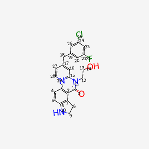 O=C(c1cccc2c1CCN2)N(CCO)c1cc(Cc2cc(F)cc(Cl)c2)ccn1